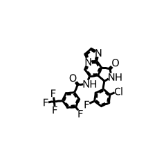 O=C(Nc1cn2ccnc2c2c1C(c1cc(F)ccc1Cl)NC2=O)c1cc(F)cc(C(F)(F)F)c1